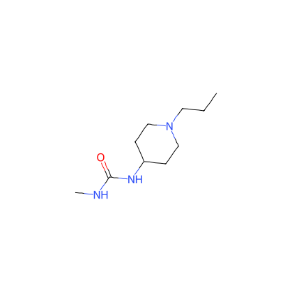 CCCN1CCC(NC(=O)NC)CC1